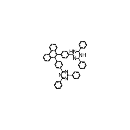 c1ccc(-c2nc(-c3ccccc3)nc(-c3ccc(-c4c(-c5ccc(C6=NC(c7ccccc7)NC(c7ccccc7)N6)cc5)c5ccccc5c5ccccc45)cc3)n2)cc1